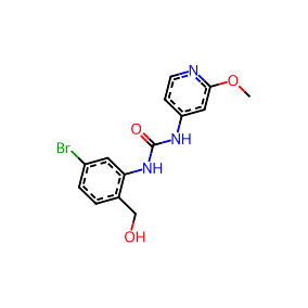 COc1cc(NC(=O)Nc2cc(Br)ccc2CO)ccn1